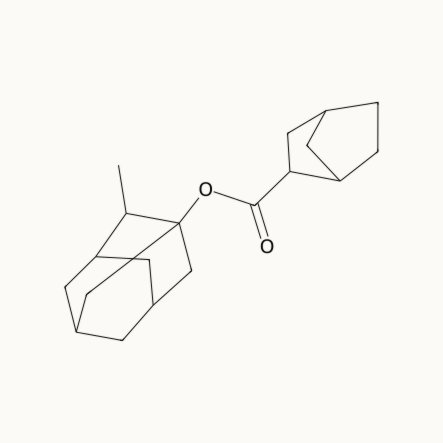 CC1C2CC3CC(C2)CC1(OC(=O)C1CC2CCC1C2)C3